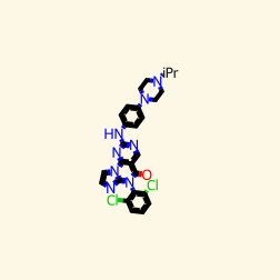 CC(C)N1CCN(c2ccc(Nc3ncc4c(=O)n(-c5c(Cl)cccc5Cl)c5nccn5c4n3)cc2)CC1